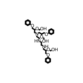 OCOC(CNCCNCCN(CC(COc1ccccc1)OCO)CC(COc1ccccc1)OCO)COc1ccccc1